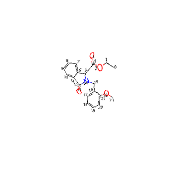 CCOC(=O)C1c2ccccc2C(=O)N1Cc1ccccc1OC